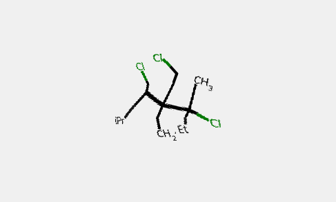 [CH2]C(CCl)(C(Cl)C(C)C)C(C)(Cl)CC